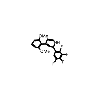 COc1cccc(OC)c1C1=CC(c2cc(F)c(F)c(F)c2F)NC=C1